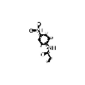 C=CC(=O)Nc1ccc([SH](=O)=O)cc1